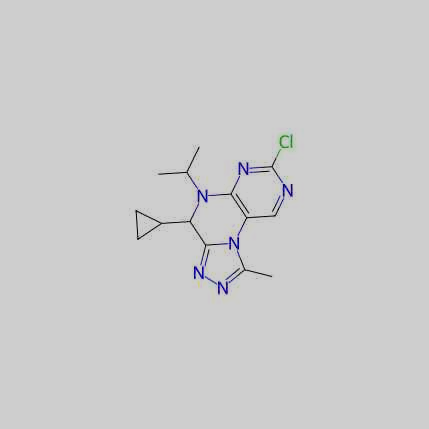 Cc1nnc2n1-c1cnc(Cl)nc1N(C(C)C)C2C1CC1